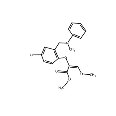 CO/C=C(/Oc1ccc(Cl)cc1CN(C)c1ccccc1)C(=O)OC